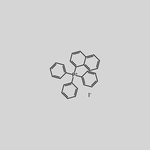 [I-].c1ccc([P+](c2ccccc2)(c2ccccc2)c2cccc3ccccc23)cc1